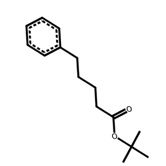 CC(C)(C)OC(=O)CCCCc1ccccc1